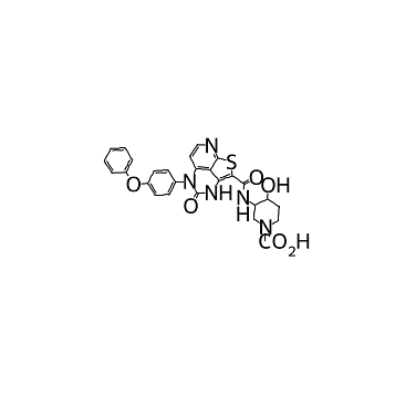 O=C(NC1CN(C(=O)O)CCC1O)c1sc2nccc3c2c1NC(=O)N3c1ccc(Oc2ccccc2)cc1